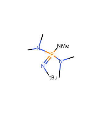 CNP(=NC(C)(C)C)(N(C)C)N(C)C